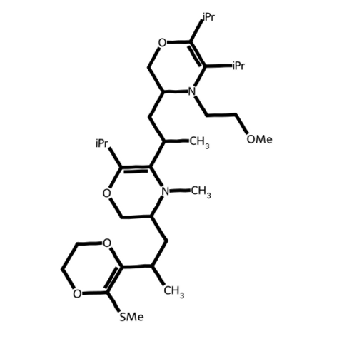 COCCN1C(C(C)C)=C(C(C)C)OCC1CC(C)C1=C(C(C)C)OCC(CC(C)C2=C(SC)OCCO2)N1C